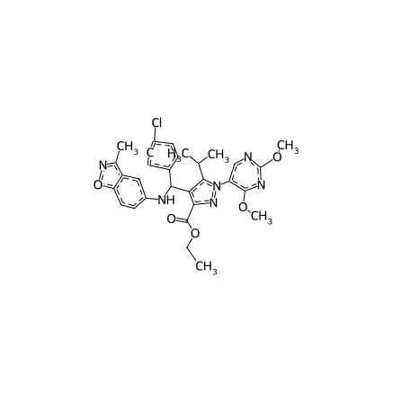 CCOC(=O)c1nn(-c2cnc(OC)nc2OC)c(C(C)C)c1C(Nc1ccc2onc(C)c2c1)c1ccc(Cl)cc1